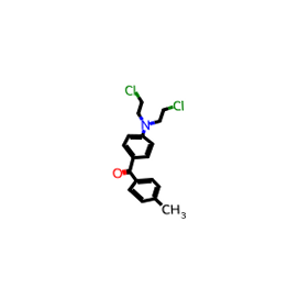 Cc1ccc(C(=O)c2ccc(N(CCCl)CCCl)cc2)cc1